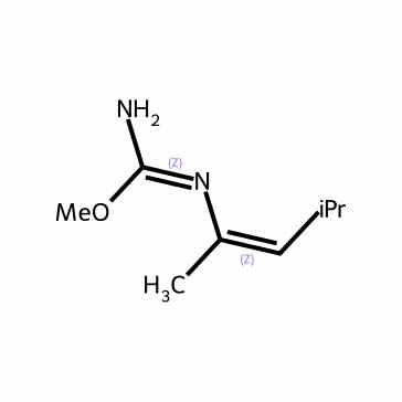 CO/C(N)=N\C(C)=C/C(C)C